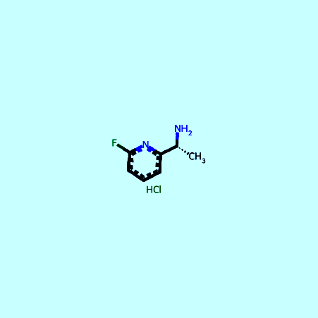 C[C@@H](N)c1cccc(F)n1.Cl